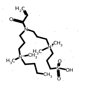 C=CC(=O)N(CCC[N+](C)(C)CCCC)CCC[N+](C)(C)CCCS(=O)(=O)O